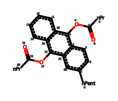 CCCCCc1ccc2c(OC(=O)CCC)c3ccccc3c(OC(=O)CCC)c2c1